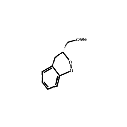 COC[C@H]1Cc2ccccc2OO1